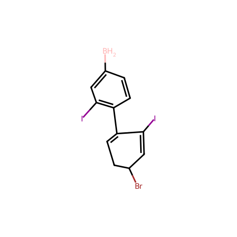 Bc1ccc(C2=CCC(Br)C=C2I)c(I)c1